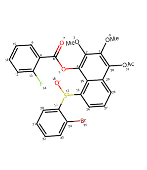 COc1c(OC)c(OC(=O)c2ccccc2F)c2c([S+]([O-])c3ccccc3Br)cccc2c1OC(C)=O